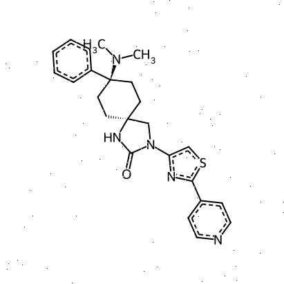 CN(C)[C@]1(c2ccccc2)CC[C@]2(CC1)CN(c1csc(-c3ccncc3)n1)C(=O)N2